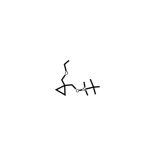 CCOCC1(CO[Si](C)(C)C(C)(C)C)CC1